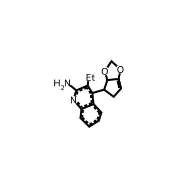 CCc1c(N)nc2ccccc2c1C1CC=C2OCOC21